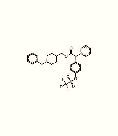 O=C(OCC1CCN(Cc2ccccc2)CC1)C(c1ccccc1)c1ccc(OS(=O)(=O)C(F)(F)F)cc1